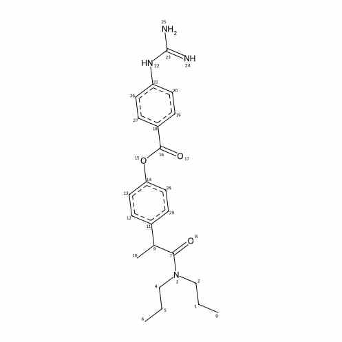 CCCN(CCC)C(=O)C(C)c1ccc(OC(=O)c2ccc(NC(=N)N)cc2)cc1